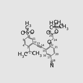 CC(C)c1ccc(S(C)(=O)=O)cc1C#Cc1cc(C#N)ccc1OCC(=O)OC(C)(C)C